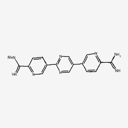 CNC(=N)c1ccc(-c2ncc(-c3ccc(C(=N)N)nc3)cn2)cn1